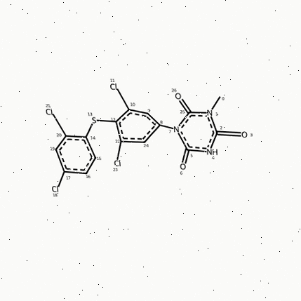 Cn1c(=O)[nH]c(=O)n(-c2cc(Cl)c(Sc3ccc(Cl)cc3Cl)c(Cl)c2)c1=O